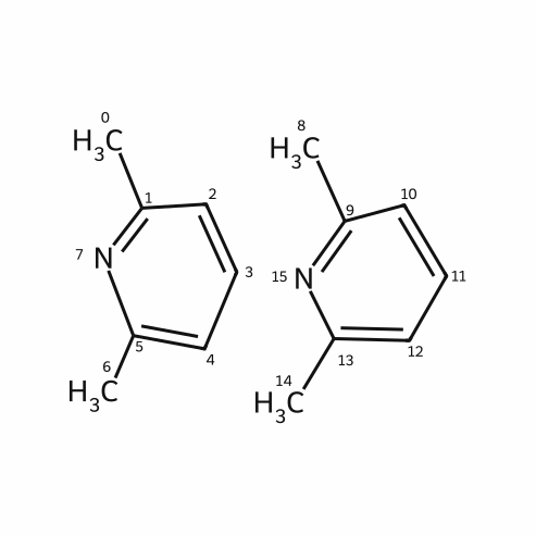 Cc1cccc(C)n1.Cc1cccc(C)n1